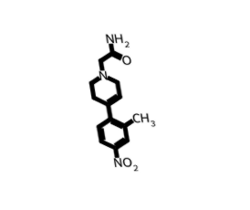 Cc1cc([N+](=O)[O-])ccc1C1=CCN(CC(N)=O)CC1